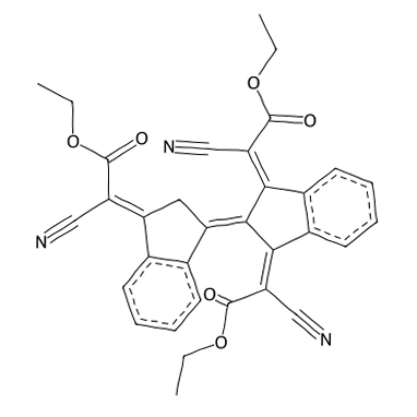 CCOC(=O)C(C#N)=C1C(=C2C/C(=C(/C#N)C(=O)OCC)c3ccccc32)C(=C(C#N)C(=O)OCC)c2ccccc21